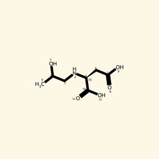 CC(O)CN[C@@H](CC(=O)O)C(=O)O